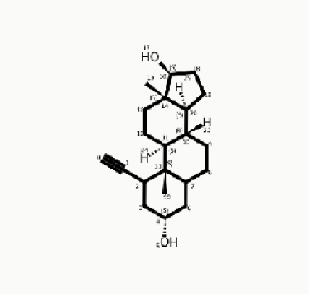 C#CC1C[C@@H](O)CC2CC[C@@H]3[C@H](CC[C@]4(C)[C@@H](O)CC[C@@H]34)[C@@]12C